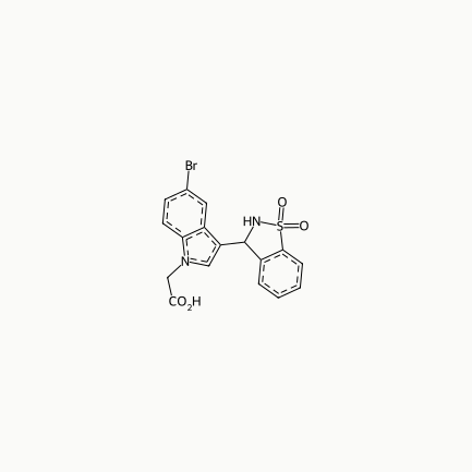 O=C(O)Cn1cc(C2NS(=O)(=O)c3ccccc32)c2cc(Br)ccc21